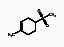 CC1=CCC(S(C)(=O)=O)CC1